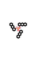 c1ccc2cc3c(OP(Oc4cccc5cc6ccccc6cc45)Oc4cccc5cc6ccccc6cc45)cccc3cc2c1